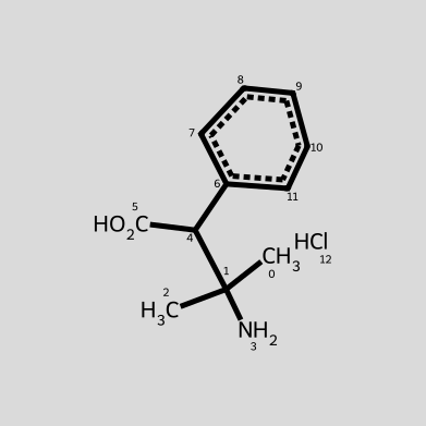 CC(C)(N)C(C(=O)O)c1ccccc1.Cl